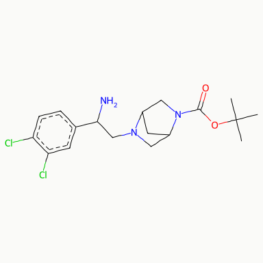 CC(C)(C)OC(=O)N1CC2CC1CN2CC(N)c1ccc(Cl)c(Cl)c1